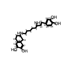 NC(CCCCCNC1CCc2cc(O)c(O)cc2C1)CCc1ccc(O)c(O)c1